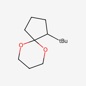 CC(C)(C)C1CCCC12OCCCO2